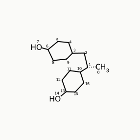 C[C@@H](CC1CCC(O)CC1)C1CCC(O)CC1